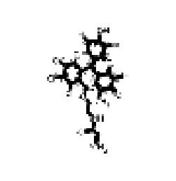 C=CC(=O)NCCOC(=O)c1c(Cl)c(Cl)c(Cl)c(Cl)c1-c1c2cc(C)c(=O)c(I)c-2oc2c(I)c(O)c(I)cc12